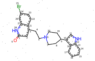 O=c1cc(CCN2CCC(c3c[nH]c4ccccc34)CC2)c2ccc(Br)cc2[nH]1